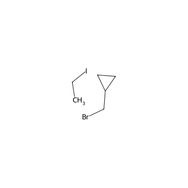 BrCC1CC1.CCI